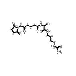 CC(C)C(NC(=O)CCCC(=O)ON1C(=O)CCC1=O)C(=O)NCCCCNC(N)=O